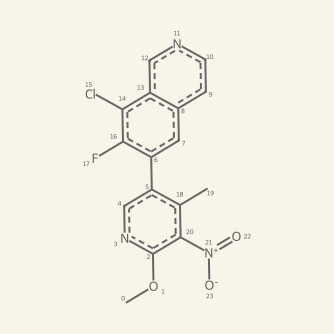 COc1ncc(-c2cc3ccncc3c(Cl)c2F)c(C)c1[N+](=O)[O-]